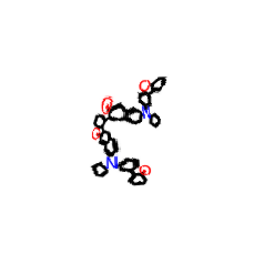 c1ccc(N(c2ccc3cc4c(cc3c2)oc2ccc3oc5cc6cc(N(c7ccccc7)c7ccc8oc9ccccc9c8c7)ccc6cc5c3c24)c2ccc3oc4ccccc4c3c2)cc1